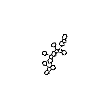 c1ccc(-c2c3cc4c(cc3n3c5ccccc5n(-c5ccc6c(c5)sc5ccccc56)c23)c2cc(-c3cccc5c6ccccc6n(-c6ccccc6)c35)ccc2n4-c2ccccc2)cc1